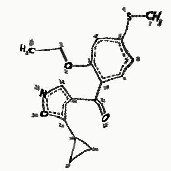 CCOc1cc(SC)ccc1C(=O)c1cnoc1C1CC1